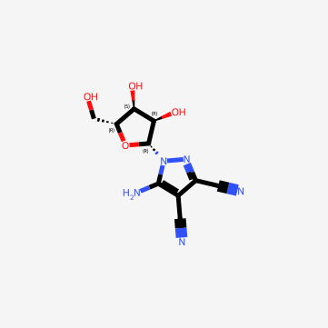 N#Cc1nn([C@@H]2O[C@H](CO)[C@@H](O)[C@H]2O)c(N)c1C#N